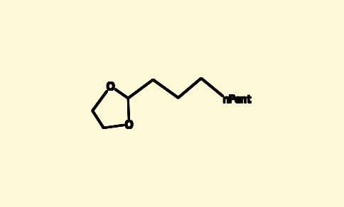 [CH2]CCCCCCCC1OCCO1